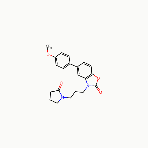 O=C1CCCN1CCCn1c(=O)oc2ccc(-c3ccc(OC(F)(F)F)cc3)cc21